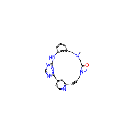 CN1CC(=O)NCC#Cc2cc(ccn2)-c2ncnc(n2)Nc2cccc(c2)C1